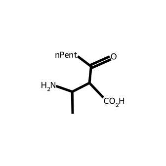 CCCCCC(=O)C(C(=O)O)C(C)N